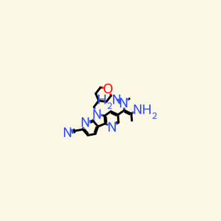 C/C(N)=C(\c1cnc2c3ccc(C#N)nc3n(CC3CCOCC3)c2c1)N(C)N